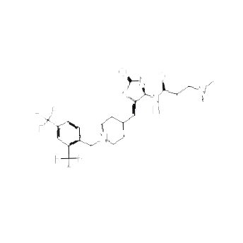 CN(C)CCC(=O)NC1=NC(=O)S/C1=C\C1CCN(Cc2ccc(C(F)(F)F)cc2C(F)(F)F)CC1